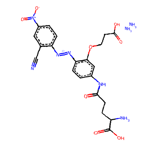 N.N.N#Cc1cc([N+](=O)[O-])ccc1/N=N/c1ccc(NC(=O)CCC(N)C(=O)O)cc1OCCC(=O)O